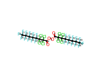 O=C(OOC(=O)C(Cl)(Cl)C(Cl)(Cl)C(F)(F)C(F)(F)C(F)(F)C(F)(F)C(F)(F)F)C(Cl)(Cl)C(Cl)(Cl)C(F)(F)C(F)(F)C(F)(F)C(F)(F)C(F)(F)F